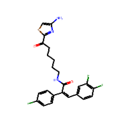 Nc1csc(C(=O)CCCCCNC(=O)C(=Cc2ccc(F)c(F)c2)c2ccc(F)cc2)n1